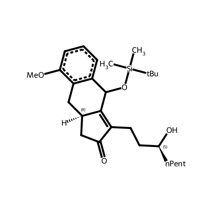 CCCCC[C@H](O)CCC1=C2C(O[Si](C)(C)C(C)(C)C)c3cccc(OC)c3C[C@@H]2CC1=O